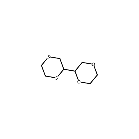 C1COC([C]2CSCCS2)CO1